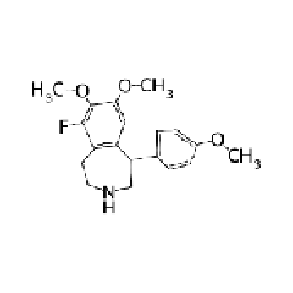 COc1ccc(C2CNCCc3c2cc(OC)c(OC)c3F)cc1